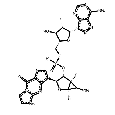 Nc1ncnc2c1nnn2[C@@H]1O[C@H](COP(=O)(S)O[C@H]2[C@H](n3cnc4c(=O)n5cc[nH]c5nc43)O[C@@H]3C(O)[C@@]32F)[C@@H](O)[C@@H]1F